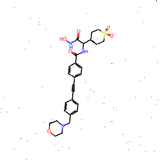 O=C(NC(C(=O)NO)C1CCS(=O)(=O)CC1)c1ccc(C#Cc2ccc(CN3CCOCC3)cc2)cc1